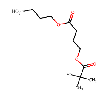 CCC(C)(C)C(=O)OCCCC(=O)OCCCC(=O)O